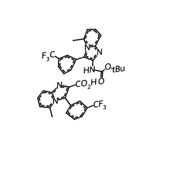 Cc1cccc2nc(C(=O)O)c(-c3cccc(C(F)(F)F)c3)n12.Cc1cccc2nc(NC(=O)OC(C)(C)C)c(-c3cccc(C(F)(F)F)c3)n12